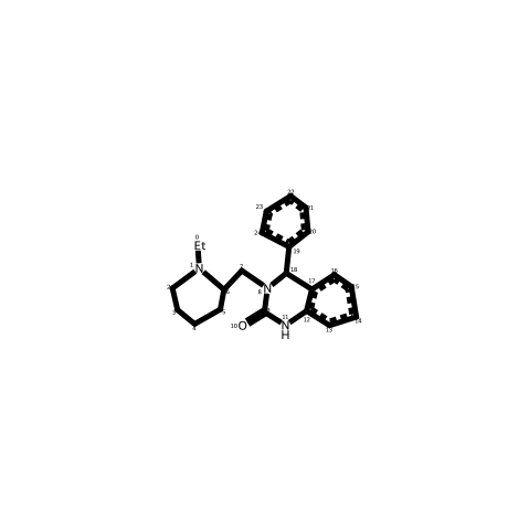 CCN1CCCCC1CN1C(=O)Nc2ccccc2C1c1ccccc1